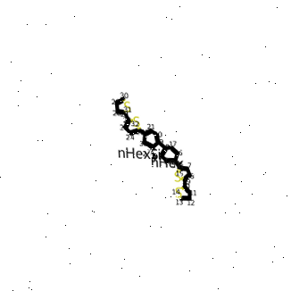 CCCCCC[Si]1(CCCCCC)c2cc(-c3ccc(-c4cccs4)s3)ccc2-c2ccc(-c3ccc(-c4cccs4)s3)cc21